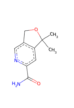 CC1(C)OCc2cnc(C(N)=O)cc21